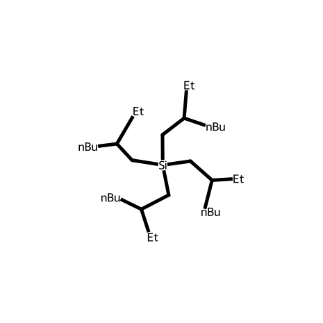 CCCCC(CC)C[Si](CC(CC)CCCC)(CC(CC)CCCC)CC(CC)CCCC